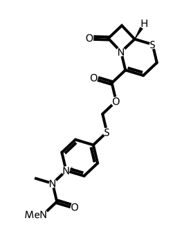 CNC(=O)N(C)[n+]1ccc(SCOC(=O)C2=CCS[C@H]3CC(=O)N23)cc1